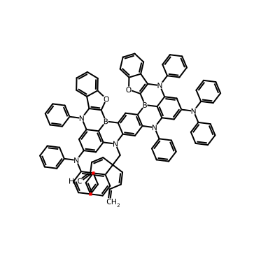 C=C/C=C\C(/C=C\C=C)(CN1c2cc3c(cc2B2c4oc5ccccc5c4N(c4ccccc4)c4cc(N(c5ccccc5)c5ccccc5)cc1c42)B1c2oc4ccccc4c2N(c2ccccc2)c2cc(N(c4ccccc4)c4ccccc4)cc(c21)N3c1ccccc1)c1ccccc1